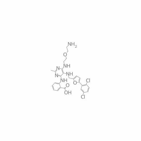 Cc1nc(NCCOCCN)c(NCc2ccc(-c3cc(Cl)ccc3Cl)o2)c(Nc2ccccc2C(=O)O)n1